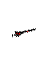 CCCCCCCCCCCCCCCCCCOc1ccc(O)c(C(=O)OC)c1